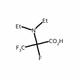 CCN(CC)C(F)(C(=O)O)C(F)(F)F